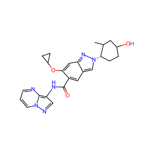 CC1CC(O)CC[C@@H]1n1cc2cc(C(=O)Nc3cnn4cccnc34)c(OC3CC3)cc2n1